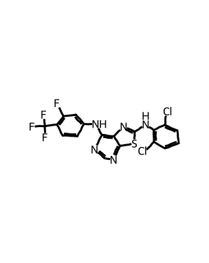 Fc1cc(Nc2ncnc3sc(Nc4c(Cl)cccc4Cl)nc23)ccc1C(F)(F)F